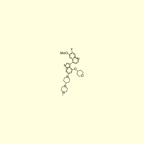 COc1cc2c(-c3cnn4cc(N5CCC(N6CCN(C)CC6)CC5)cc(OC5CCOCC5)c34)ccnc2cc1F